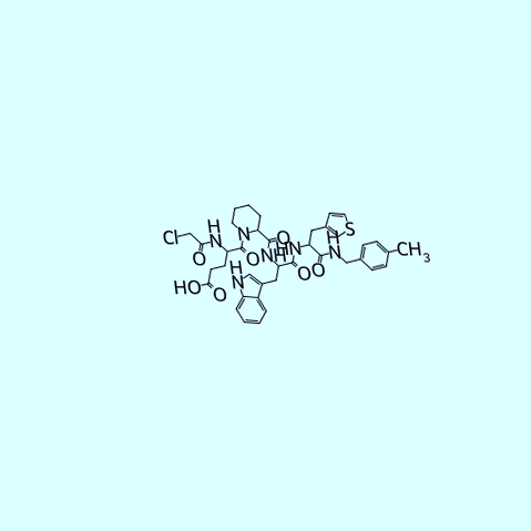 Cc1ccc(CNC(=O)C(Cc2ccsc2)NC(=O)C(Cc2c[nH]c3ccccc23)NC(=O)C2CCCCN2C(=O)C(CCC(=O)O)NC(=O)CCl)cc1